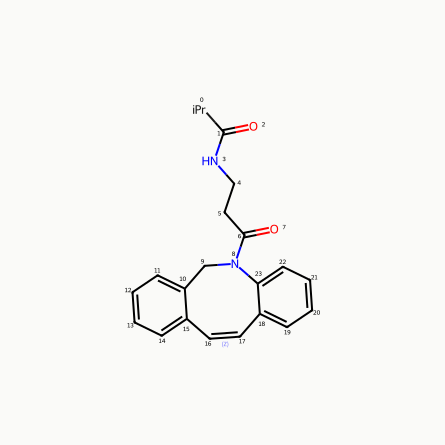 CC(C)C(=O)NCCC(=O)N1Cc2ccccc2/C=C\c2ccccc21